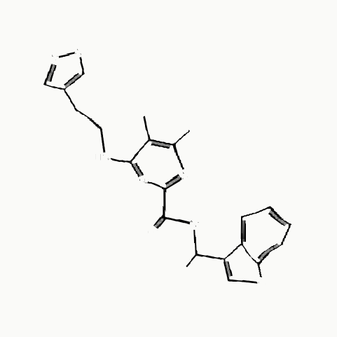 Cc1nc(C(=O)NC(C)c2coc3ccccc23)nc(NCCc2cn[nH]c2)c1C